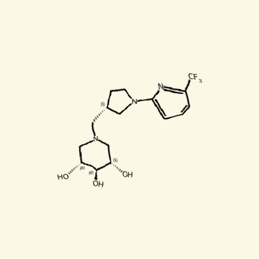 O[C@H]1[C@H](O)CN(C[C@@H]2CCN(c3cccc(C(F)(F)F)n3)C2)C[C@@H]1O